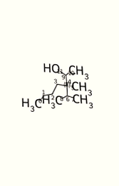 CCCC[C@](C)(C(C)C)C(C)O